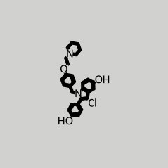 Oc1ccc(C2C(Cl)c3cc(O)ccc3N2Cc2ccc(OCCN3CCCCC3)cc2)cc1